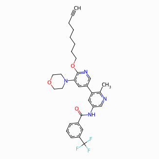 C#CCCCCCCOc1ncc(-c2cc(NC(=O)c3cccc(C(F)(F)F)c3)cnc2C)cc1N1CCOCC1